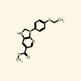 CCOc1ccc(N2CNc3cc(C(=O)OC)cnc32)cc1